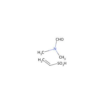 C=CS(=O)(=O)O.CN(C)C=O